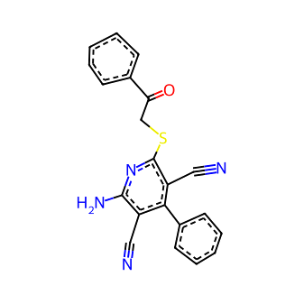 N#Cc1c(N)nc(SCC(=O)c2ccccc2)c(C#N)c1-c1ccccc1